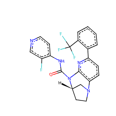 O=C(Nc1ccncc1F)N1c2nc(-c3ccccc3C(F)(F)F)ccc2N2CC[C@H]1C2